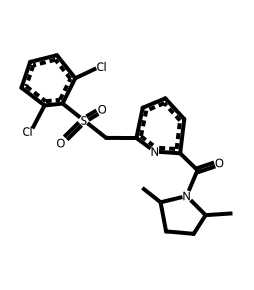 CC1CCC(C)N1C(=O)c1cccc(CS(=O)(=O)c2c(Cl)cccc2Cl)n1